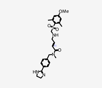 COc1cc(C)c(S(=O)(=O)CNC/C=C/C(=O)N(C)Cc2ccc(C3=NCCN3)cc2)c(C)c1